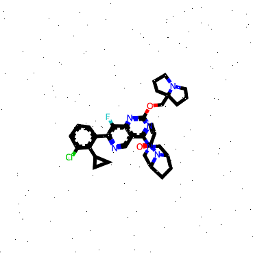 C=CC(=O)N1C2CCC1CN(c1nc(OCC34CCCN3CCC4)nc3c(F)c(-c4cccc(Cl)c4C4CC4)ncc13)C2